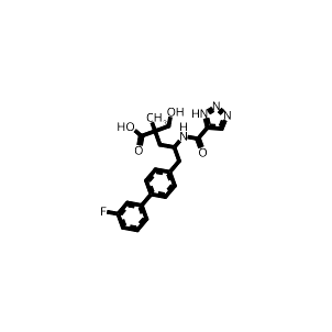 CC(CO)(CC(Cc1ccc(-c2cccc(F)c2)cc1)NC(=O)c1cnn[nH]1)C(=O)O